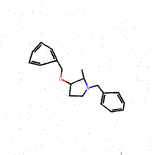 CC1C(OCc2ccccc2)CCN1Cc1ccccc1